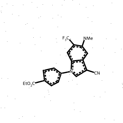 CCOC(=O)c1ccc(-n2cc(C#N)c3cc(NC)c(C(F)(F)F)cc32)cc1